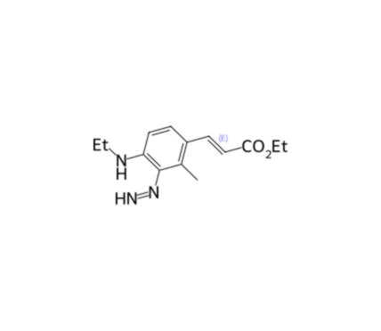 CCNc1ccc(/C=C/C(=O)OCC)c(C)c1N=N